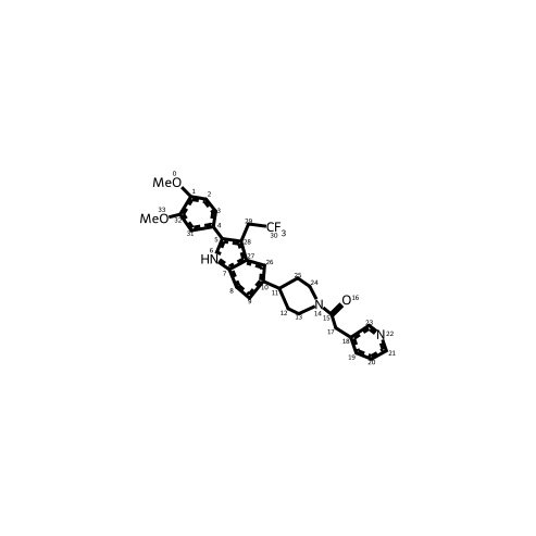 COc1ccc(-c2[nH]c3ccc(C4CCN(C(=O)Cc5cccnc5)CC4)cc3c2CC(F)(F)F)cc1OC